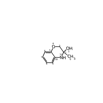 CC1(O)COc2ccccc2N1